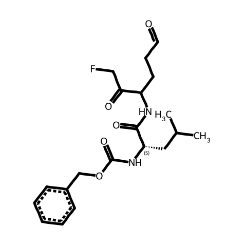 CC(C)C[C@H](NC(=O)OCc1ccccc1)C(=O)NC(CCC=O)C(=O)CF